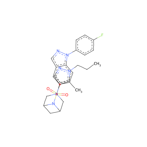 CCCn1cc(S(=O)(=O)N2C3CC2CN(c2cc4cnn(-c5ccc(F)cc5)c4cc2C)C3)cn1